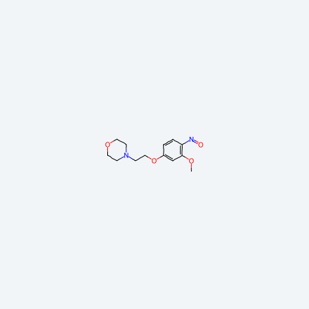 COc1cc(OCCN2CCOCC2)ccc1N=O